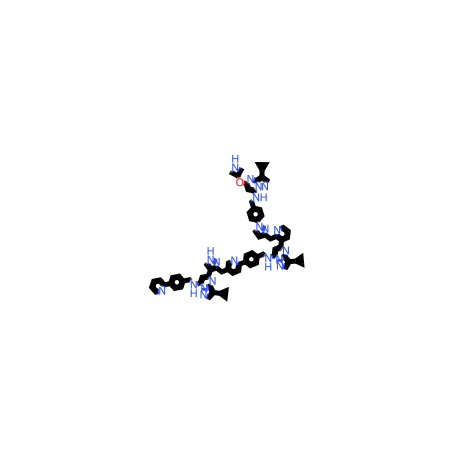 c1ccc(-c2ccc(CNc3cc(-c4c[nH]nc4Cc4ccc(-c5ccc(CNc6cc(-c7cccnc7Cc7ccn(-c8ccc(CNc9cc(OC%10CNC%10)nc%10c(C%11CC%11)cnn9%10)cc8)n7)nc7c(C8CC8)cnn67)cc5)nc4)nc4c(C5CC5)cnn34)cc2)nc1